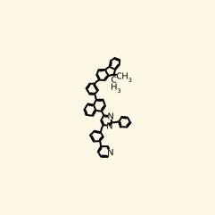 CC1(C)c2ccccc2-c2ccc(-c3cccc(-c4ccc(-c5cc(-c6cccc(-c7cccnc7)c6)nc(-c6ccccc6)n5)c5ccccc45)c3)cc21